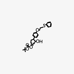 CC(C)(C)OC(=O)ON1CCC(c2ccc(OCCCSc3ccccc3)cc2)C(O)C1